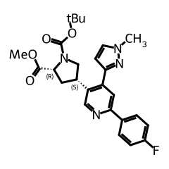 COC(=O)[C@H]1C[C@@H](c2cnc(-c3ccc(F)cc3)cc2-c2ccn(C)n2)CN1C(=O)OC(C)(C)C